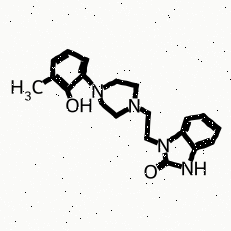 Cc1cccc(N2CCN(CCn3c(=O)[nH]c4ccccc43)CC2)c1O